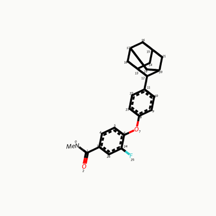 CNC(=O)c1ccc(Oc2ccc(C3C4CC5CC(C4)CC3C5)cc2)c(F)c1